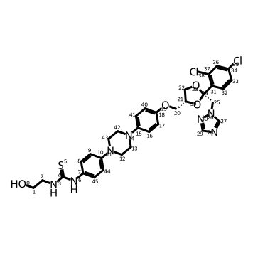 OCCNC(=S)Nc1ccc(N2CCN(c3ccc(OC[C@@H]4CO[C@@](Cn5cncn5)(c5ccc(Cl)cc5Cl)O4)cc3)CC2)cc1